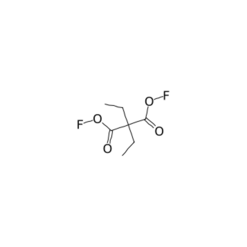 CCC(CC)(C(=O)OF)C(=O)OF